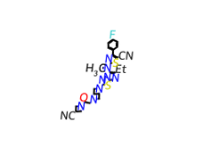 CCc1nc2sc(N3CC4C3CN4CC(=O)N3CC(C#N)C3)nn2c1N(C)c1nc(-c2ccc(F)cc2)c(C#N)s1